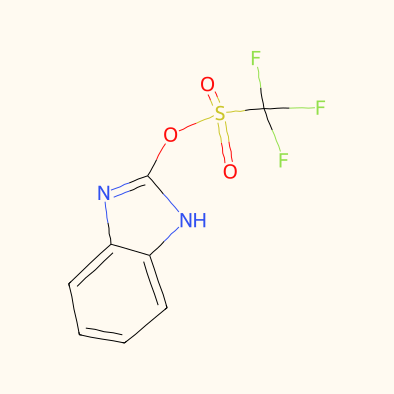 O=S(=O)(Oc1nc2ccccc2[nH]1)C(F)(F)F